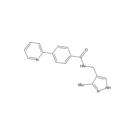 CC(C)(C)c1n[nH]cc1CNC(=O)c1ccc(-c2ccccn2)cc1